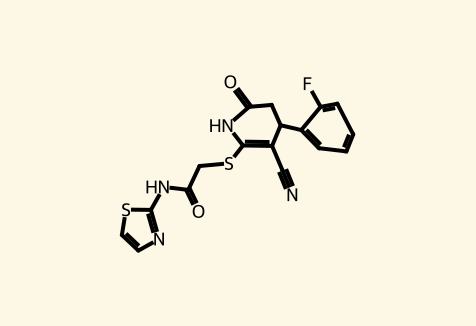 N#CC1=C(SCC(=O)Nc2nccs2)NC(=O)CC1c1ccccc1F